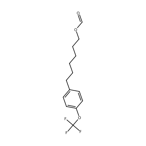 O=COCCCCCCc1ccc(OC(F)(F)F)cc1